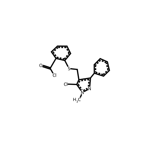 Cn1nc(-c2ccccc2)c(CSc2ccccc2C(=O)Cl)c1Cl